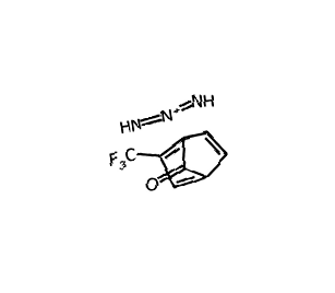 N=[N+]=N.O=C1C2=CC(C(F)(F)F)=C1C=C2